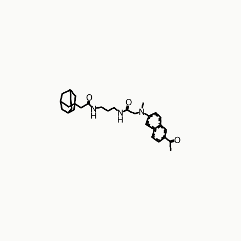 CC(=O)c1ccc2cc(N(C)CC(=O)NCCCNC(=O)CC34CC5CC(CC(C5)C3)C4)ccc2c1